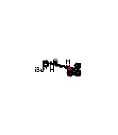 CCC(C)CN1CCC[C@@H](CNC(=O)CCCCCNC(=O)CC(c2ccccc2)(c2ccccc2)c2ccccc2)C1